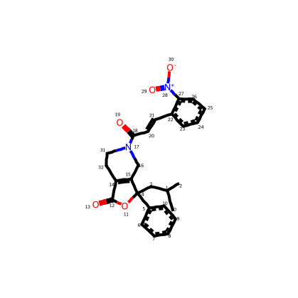 CC(C)CC1(c2ccccc2)OC(=O)C2=C1CN(C(=O)/C=C/c1ccccc1[N+](=O)[O-])CC2